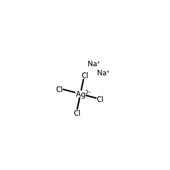 [Cl][Ag-2]([Cl])([Cl])[Cl].[Na+].[Na+]